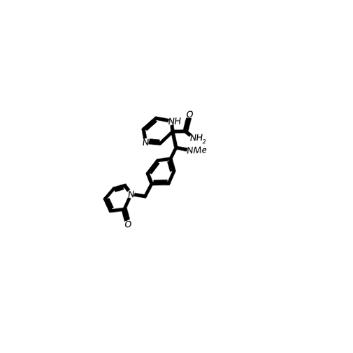 CNC(c1ccc(Cn2ccccc2=O)cc1)C1(C(N)=O)C=NC=CN1